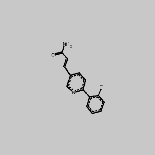 NC(=O)/C=C/c1ccc(-c2ccccc2F)nc1